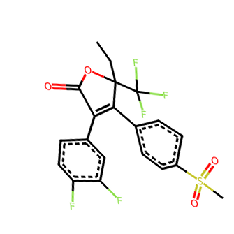 CCC1(C(F)(F)F)OC(=O)C(c2ccc(F)c(F)c2)=C1c1ccc(S(C)(=O)=O)cc1